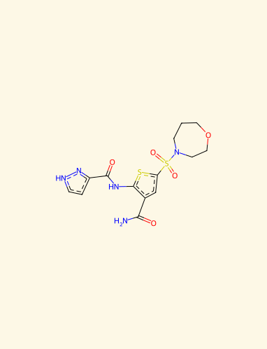 NC(=O)c1cc(S(=O)(=O)N2CCCOCC2)sc1NC(=O)c1cc[nH]n1